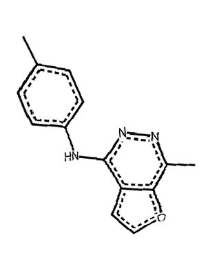 Cc1ccc(Nc2nnc(C)c3occc23)cc1